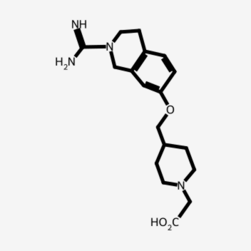 N=C(N)N1CCc2ccc(OCC3CCN(CC(=O)O)CC3)cc2C1